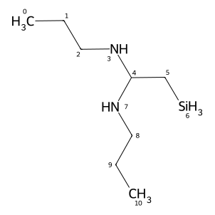 CCCNC(C[SiH3])NCCC